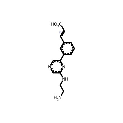 NCCNc1cncc(-c2cccc(/C=C/C(=O)O)c2)n1